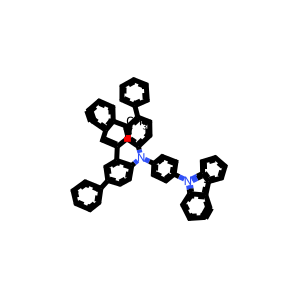 CC1CC(c2cc(-c3ccccc3)ccc2N(c2ccc(-c3ccccc3)cc2)c2ccc(-n3c4ccc#cc4c4ccccc43)cc2)=Cc2c#cccc21